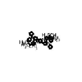 Cc1ccc(N(c2ccccc2)c2ccc3c4cc5c(cc4n4c6ccc(C(C)(C)C)cc6c2c34)c2ccc(N(c3ccccc3)c3ccc(C)c(C)c3)c3c4cc(C(C)(C)C)ccc4n5c23)cc1C